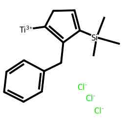 C[Si](C)(C)C1=CC[C]([Ti+3])=C1Cc1ccccc1.[Cl-].[Cl-].[Cl-]